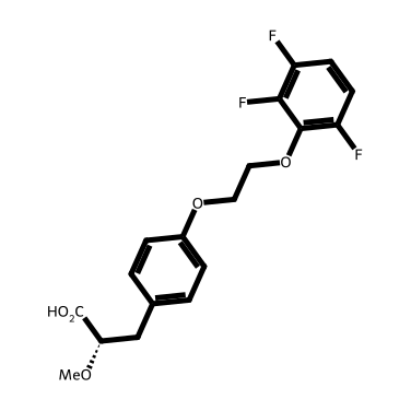 CO[C@@H](Cc1ccc(OCCOc2c(F)ccc(F)c2F)cc1)C(=O)O